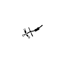 CC#CC(C)(C)S([O])(=O)=O